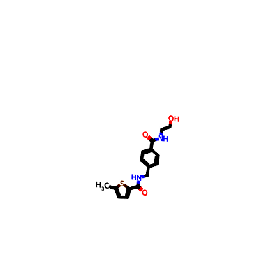 Cc1ccc(C(=O)NCc2ccc(C(=O)NCCO)cc2)s1